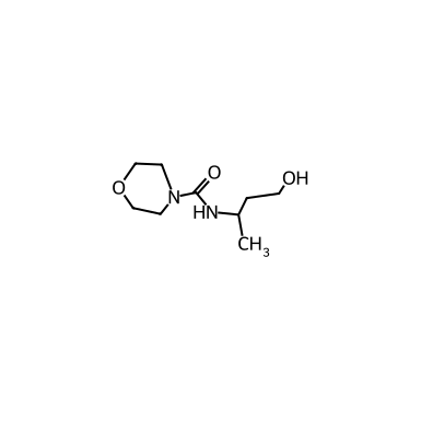 CC(CCO)NC(=O)N1CCOCC1